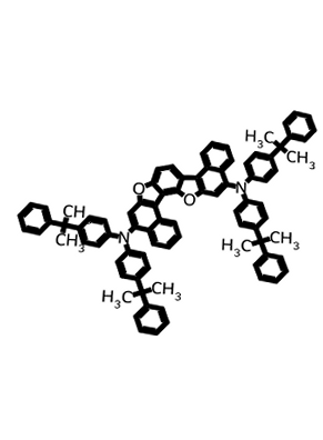 CC(C)(c1ccccc1)c1ccc(N(c2ccc(C(C)(C)c3ccccc3)cc2)c2cc3oc4c(ccc5oc6cc(N(c7ccc(C(C)(C)c8ccccc8)cc7)c7ccc(C(C)(C)c8ccccc8)cc7)c7ccccc7c6c54)c3c3ccccc23)cc1